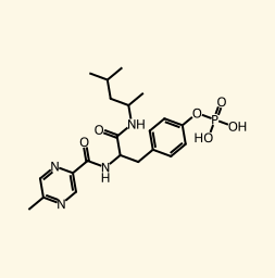 Cc1cnc(C(=O)NC(Cc2ccc(OP(=O)(O)O)cc2)C(=O)NC(C)CC(C)C)cn1